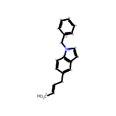 O=C(O)C=CCc1ccc2c(ccn2Cc2ccccc2)c1